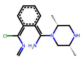 C=N/C(Cl)=c1/cccc/c1=C(/N)N1C[C@@H](C)NC[C@H]1C